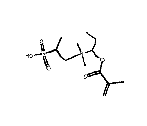 C=C(C)C(=O)OC(CC)[N+](C)(C)CC(C)S(=O)(=O)O